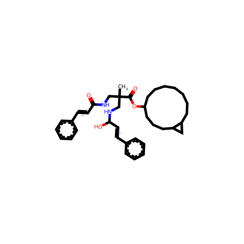 CC(CNC(=O)/C=C/c1ccccc1)(CNC(O)/C=C/c1ccccc1)C(=O)OC1CCCCCCCC2CC2CCC1